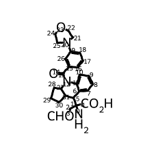 NC(CC=O)(C(=O)O)C1c2ccccc2N(C(=O)c2cccc(N3CCOCC3)c2)C2CCCC21